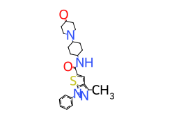 Cc1nn(-c2ccccc2)c2sc(C(=O)NC3CCC(N4CCC(=O)CC4)CC3)cc12